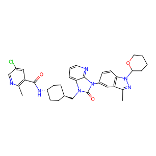 Cc1ncc(Cl)cc1C(=O)N[C@H]1CC[C@H](Cn2c(=O)n(-c3ccc4c(c3)c(C)nn4C3CCCCO3)c3ncccc32)CC1